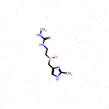 CNC(=S)NCC[S+]([O-])Cc1c[nH]c(C)n1